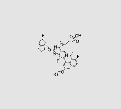 CCc1c(F)ccc2cc(OCOC)cc(-c3ncc4c(N(C)CCCS(=O)(=O)O)nc(OC[C@@]56CCCN5C[C@H](F)C6)nc4c3F)c12